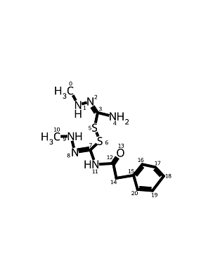 CN/N=C(/N)SS/C(=N\NC)NC(=O)Cc1ccccc1